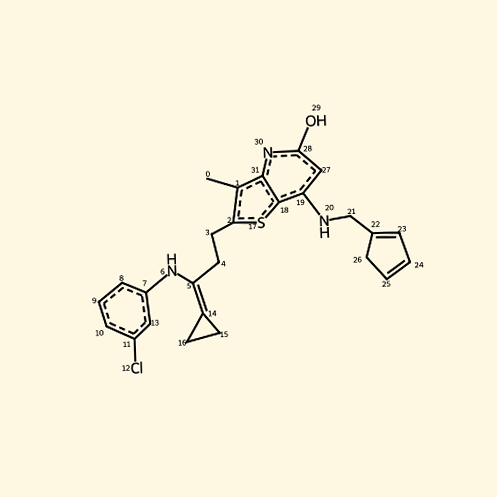 Cc1c(CCC(Nc2cccc(Cl)c2)=C2CC2)sc2c(NCC3=CC=CC3)cc(O)nc12